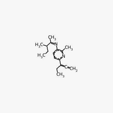 C=C=C(CC)c1ccc(/N=C(/C)C(C)CC)c(C)n1